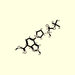 COC(=O)c1ccc(N2CC[C@H](N(C)C(=O)OC(C)(C)C)C2)c2cn(C)nc12